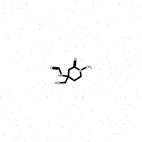 CN1CCC(CO)(NC=O)CC1=O